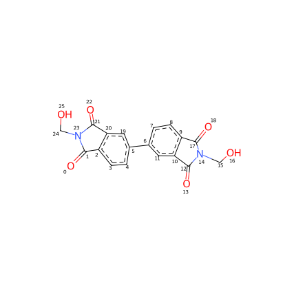 O=C1c2ccc(-c3ccc4c(c3)C(=O)N(CO)C4=O)cc2C(=O)N1CO